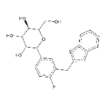 OCC1OC(c2ccc(F)c(Cc3cc4ccccc4s3)c2)C(O)C(O)[C@H]1O